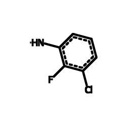 [NH]c1cccc(Cl)c1F